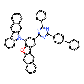 c1ccc(-c2ccc(-c3nc(-c4ccccc4)nc(-c4cc(-n5c6ccccc6c6cc7ccccc7cc65)c5oc6cc7ccccc7cc6c5c4)n3)cc2)cc1